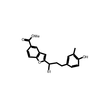 CCC(CCc1ccc(O)c(C)c1)c1cc2cc(C(=O)OC)ccc2o1